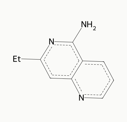 CCc1cc2ncccc2c(N)n1